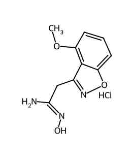 COc1cccc2onc(CC(N)=NO)c12.Cl